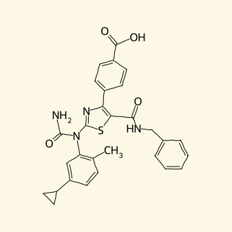 Cc1ccc(C2CC2)cc1N(C(N)=O)c1nc(-c2ccc(C(=O)O)cc2)c(C(=O)NCc2ccccc2)s1